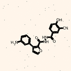 N#Cc1cc(C(=O)NNC(=O)c2occc2-c2cccc(N)c2)ccc1O